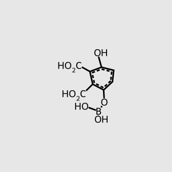 O=C(O)c1c(O)ccc(OB(O)O)c1C(=O)O